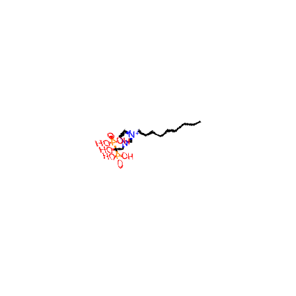 CCCCCCCCC[n+]1ccn(CC(O)(P(=O)(O)O)P(=O)(O)O)c1